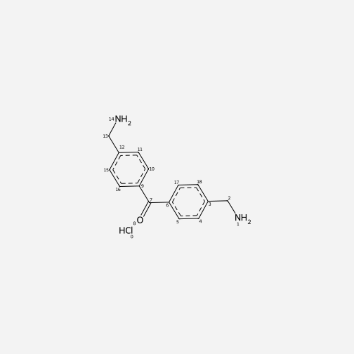 Cl.NCc1ccc(C(=O)c2ccc(CN)cc2)cc1